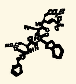 CCOC(=O)C[C@@H](/C=C/S(C)(=O)=O)NC(=O)[C@@H](NC(=O)[C@@H](NC(=O)[C@H](CC(=O)OCC)NC(=O)OCc1ccccc1)C1Cc2ccccc2C1)C(C)C